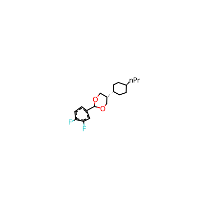 CCC[C@H]1CC[C@H](C2COC(c3ccc(F)c(F)c3)OC2)CC1